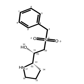 O=S(=O)(Cc1ccccc1)C[C@@H](O)[C@@H]1CCCN1